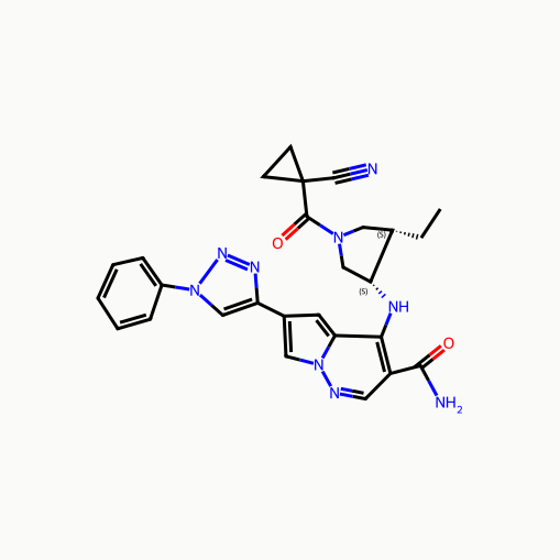 CC[C@H]1CN(C(=O)C2(C#N)CC2)C[C@H]1Nc1c(C(N)=O)cnn2cc(-c3cn(-c4ccccc4)nn3)cc12